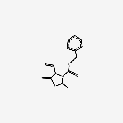 C=CC1C(=O)OC(C)N1C(=O)OCc1ccccc1